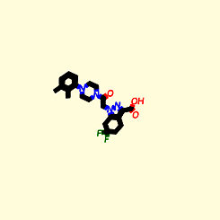 Cc1cccc(N2CCN(C(=O)Cn3nc(C(=O)O)c4c3CC(F)(F)CC4)CC2)c1C